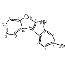 Brc1ccc2c(c1)[nH]c1oc3ccccc3c12